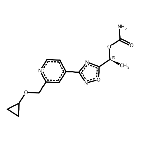 C[C@H](OC(N)=O)c1nc(-c2ccnc(COC3CC3)c2)no1